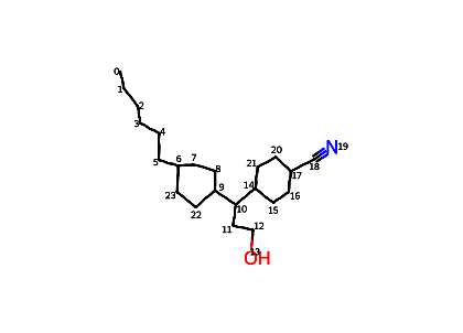 CCCCCCC1CCC(C(CCO)C2CCC(C#N)CC2)CC1